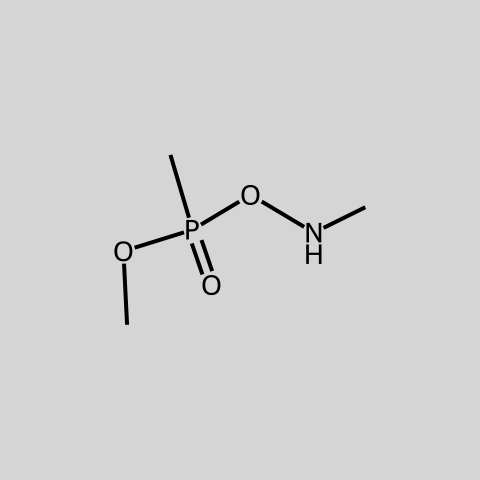 CNOP(C)(=O)OC